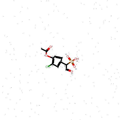 CC(=O)Oc1ccc(C([C]=O)S(=O)(=O)O)cc1Cl